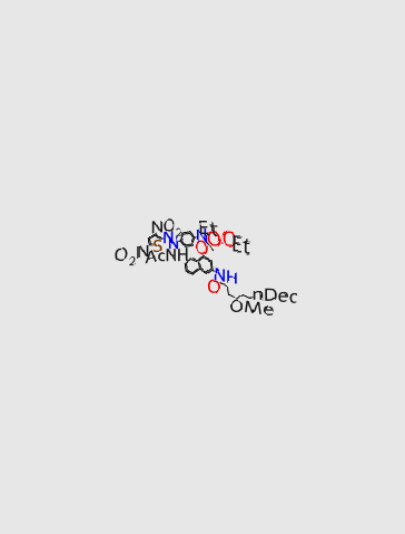 CCCCCCCCCCCCC(CCC(=O)Nc1cc(OC(C)(OCOCC)N(CC)c2ccc(N=Nc3sc([N+](=O)[O-])cc3[N+](=O)[O-])c(NC(C)=O)c2)c2ccccc2c1)OC